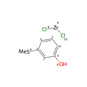 CSc1cccc(O)c1.[Cl][Zr][Cl]